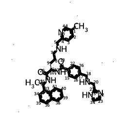 Cc1ccc(CNCCC[C@H](NC(=O)c2ccc(CNCc3ncc[nH]3)cc2)C(=O)N[C@@H](C)c2cccc3ccccc23)nc1